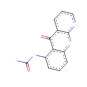 NC(=O)Nc1cccc2sc3ncccc3c(=O)c12